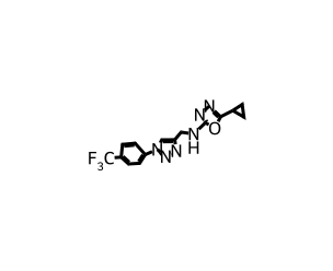 FC(F)(F)c1ccc(-n2cc(CNc3nnc(C4CC4)o3)nn2)cc1